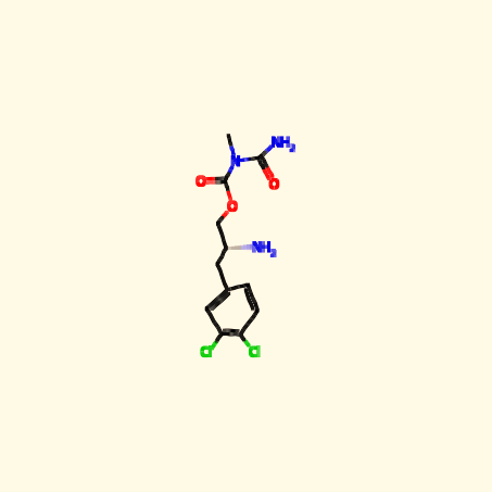 CN(C(N)=O)C(=O)OC[C@H](N)Cc1ccc(Cl)c(Cl)c1